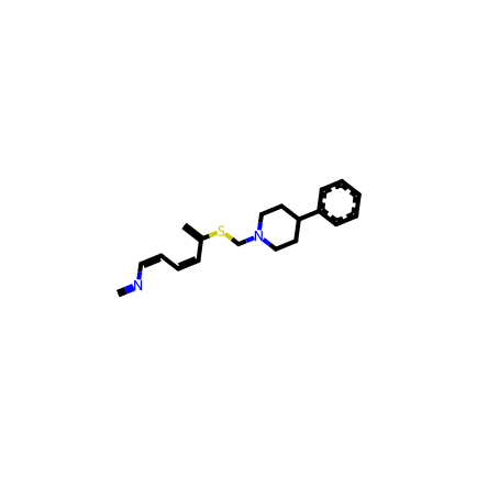 C=N/C=C\C=C/C(=C)SCN1CCC(c2ccccc2)CC1